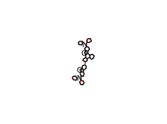 c1ccc(N(c2ccccc2)c2ccc3c(c2)oc2cc(-c4ccc5c(c4)c4ccccc4c4c6ccc(N(c7ccccc7)c7ccccc7)cc6oc54)ccc23)cc1